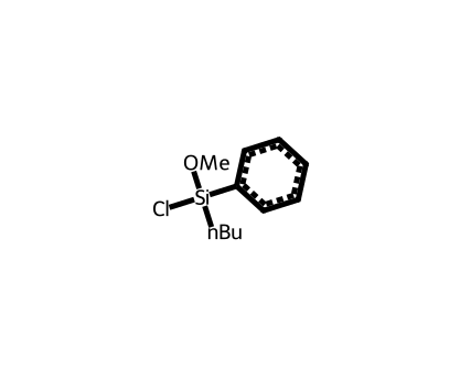 CCCC[Si](Cl)(OC)c1ccccc1